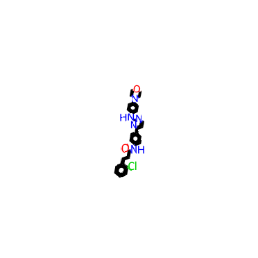 O=C(CCc1ccccc1Cl)Nc1ccc(-c2ccnc(Nc3ccc(N4CCOCC4)cc3)n2)cc1